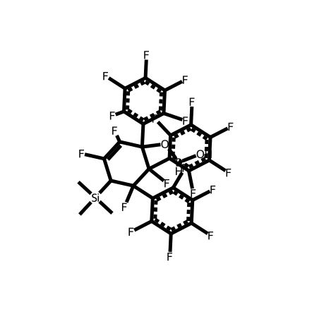 C[Si](C)(C)C1C(F)=C(F)C(OBO)(c2c(F)c(F)c(F)c(F)c2F)C(F)(c2c(F)c(F)c(F)c(F)c2F)C1(F)c1c(F)c(F)c(F)c(F)c1F